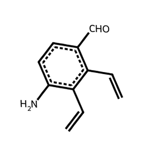 C=Cc1c(N)ccc(C=O)c1C=C